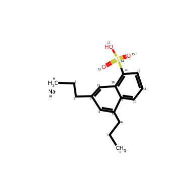 CCCc1cc(CCC)c2cccc(S(=O)(=O)O)c2c1.[Na]